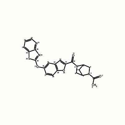 CC(=O)N1CC2CC1CN2C(=O)c1cc2cc(Oc3nc4ncccc4s3)ccc2o1